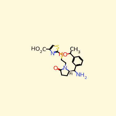 CC(O)c1cccc(C(N)[C@H]2CCC(=O)N2CCSc2nc(C(=O)O)cs2)c1